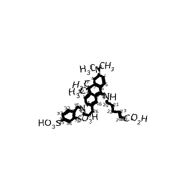 CN(C)c1ccc2c(c1)C(C)(C)c1cc3c(cc1=C2NCCCCCC(=O)O)CCC[N+]=3Cc1ccc(S(=O)(=O)O)cc1S(=O)(=O)O